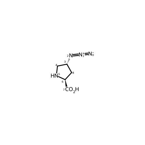 [N-]=[N+]=N[C@H]1CN[C@H](C(=O)O)C1